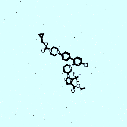 CCOC(=O)c1cnn(C2CCCN(c3cc(Cl)ccc3-c3ccc(N4CCN(C(=O)OCC5CC5)CC4)cc3)C2)c1C(F)(F)F